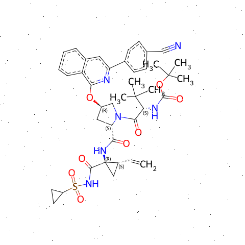 C=C[C@@H]1C[C@]1(NC(=O)[C@@H]1C[C@@H](Oc2nc(-c3ccc(C#N)cc3)cc3ccccc23)CN1C(=O)[C@@H](NC(=O)OC(C)(C)C)C(C)(C)C)C(=O)NS(=O)(=O)C1CC1